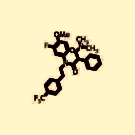 COc1ccc(N(CCc2ccc(C(F)(F)F)cc2)C(=O)C(C(=O)N(C)C)c2ccccc2)cc1F